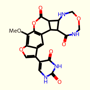 COc1c2c(cc3c(-c4c[nH]c(=O)[nH]c4=O)coc13)C1C3C(=O)NCOCNC3C1C(=O)O2